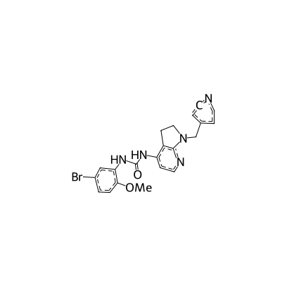 COc1ccc(Br)cc1NC(=O)Nc1ccnc2c1CCN2Cc1ccncc1